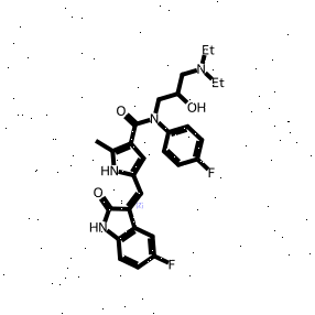 CCN(CC)CC(O)CN(C(=O)c1cc(/C=C2\C(=O)Nc3ccc(F)cc32)[nH]c1C)c1ccc(F)cc1